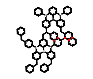 c1ccc(Cc2ccc(N3c4ccc(Cc5ccccc5)cc4B4c5cc(Cc6ccccc6)ccc5N(c5ccc(Cc6ccccc6)cc5)c5cc(CC(c6ccccc6)c6ccc7c(c6)B6c8cc(Cc9ccccc9)ccc8N(c8ccccc8)c8cccc(c86)N7c6ccccc6)cc3c54)cc2)cc1